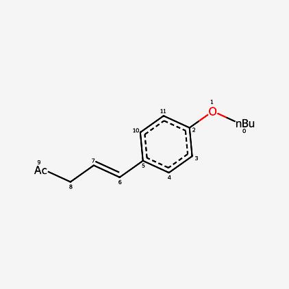 CCCCOc1ccc(/C=C/CC(C)=O)cc1